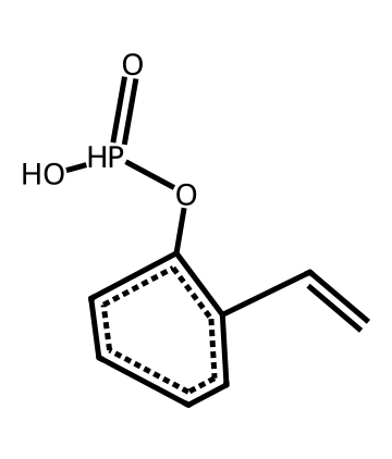 C=Cc1ccccc1O[PH](=O)O